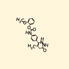 COc1ccccc1OC(=O)Nc1ccc(C2=C(C)CC(=O)NN2)cc1